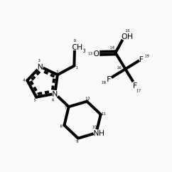 CCc1nccn1C1CCNCC1.O=C(O)C(F)(F)F